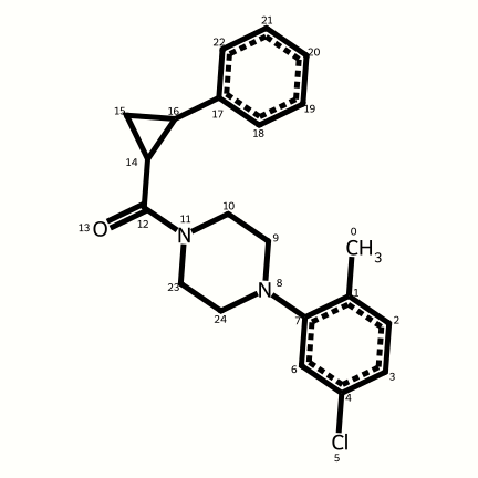 Cc1ccc(Cl)cc1N1CCN(C(=O)C2CC2c2ccccc2)CC1